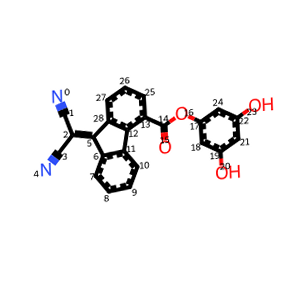 N#CC(C#N)=C1c2ccccc2-c2c(C(=O)Oc3cc(O)cc(O)c3)cccc21